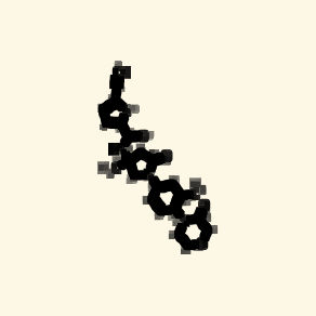 C#Cc1ccc(C(=O)NC2(C)CC(=O)N(c3ccc(N4CCOCC4=O)c(C)c3)C2)s1